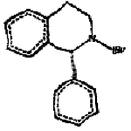 CC(C)(C)N1CCc2ccccc2[C@H]1c1ccccc1